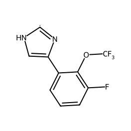 Fc1cccc(-c2c[nH][c]n2)c1OC(F)(F)F